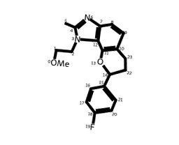 COCCn1c(C)nc2c[c]c3c(c21)OC(c1ccc(F)cc1)CC3